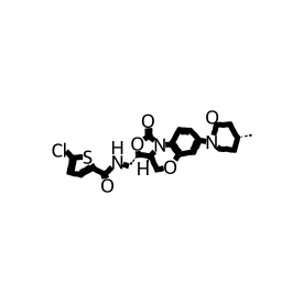 C[C@@H]1CCN(c2ccc3c(c2)OC[C@H]2[C@H](CNC(=O)c4ccc(Cl)s4)OC(=O)N32)C(=O)C1